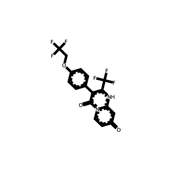 O=c1ccn2c(=O)c(-c3ccc(OCC(F)(F)F)cc3)c(C(F)(F)F)[nH]c2c1